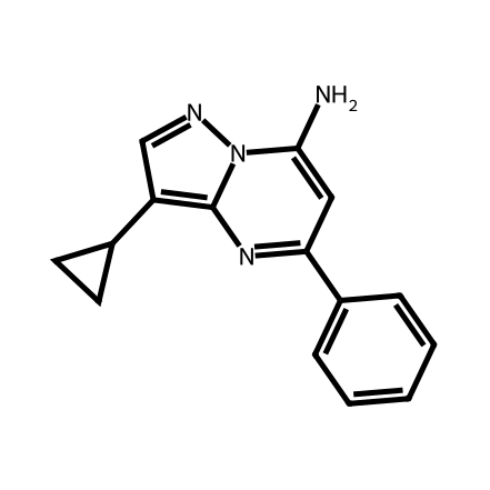 Nc1cc(-c2ccccc2)nc2c(C3CC3)cnn12